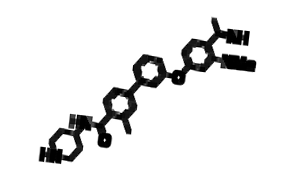 CNc1cc(Oc2cccc(-c3ccc(C(=O)NC4CCNCC4)c(C)c3)c2)ccc1C(C)=N